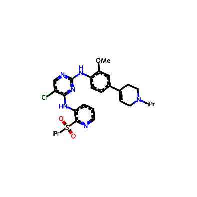 COc1cc(C2=CCN(C(C)C)CC2)ccc1Nc1ncc(Cl)c(Nc2cccnc2S(=O)(=O)C(C)C)n1